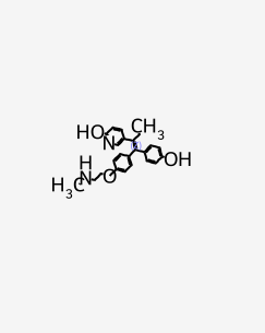 CC/C(=C(\c1ccc(O)cc1)c1ccc(OCCNC)cc1)c1ccc(O)nc1